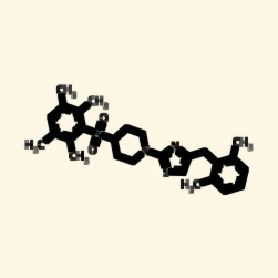 Cc1cc(C)c(C)c(S(=O)(=O)C2CCN(c3nc(Cc4c(C)cccc4C)cs3)CC2)c1C